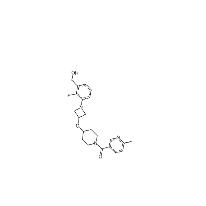 Cc1ccc(C(=O)N2CCC(OC3CN(c4cccc(CO)c4F)C3)CC2)cn1